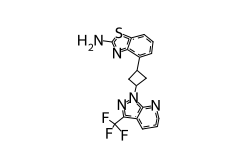 Nc1nc2c(C3CC(n4nc(C(F)(F)F)c5cccnc54)C3)cccc2s1